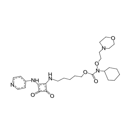 O=C(OCCCCCNc1c(Nc2ccncc2)c(=O)c1=O)N(OCCN1CCOCC1)C1CCCCC1